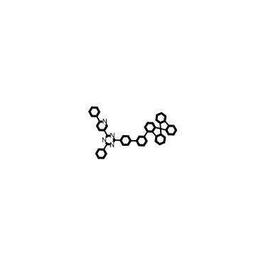 c1ccc(-c2ccc(-c3nc(-c4ccccc4)nc(-c4ccc(-c5cccc(-c6cccc7c6-c6ccccc6C76c7ccccc7-c7ccccc76)c5)cc4)n3)cn2)cc1